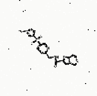 CC(C)n1cc(S(=O)(=O)c2ccc(CNC(=O)c3cc4cnccc4[nH]3)nc2)cn1